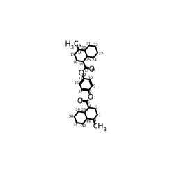 CC1CCC(C(=O)Oc2ccc(OC(=O)C3CCC(C)C4CCCCC34)cc2)C2CCCCC12